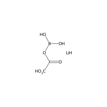 O=C(O)C(=O)OB(O)O.[LiH]